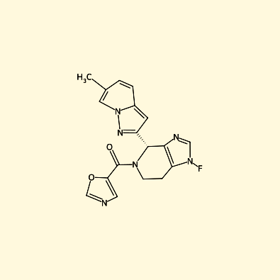 Cc1ccc2cc([C@@H]3c4ncn(F)c4CCN3C(=O)c3cnco3)nn2c1